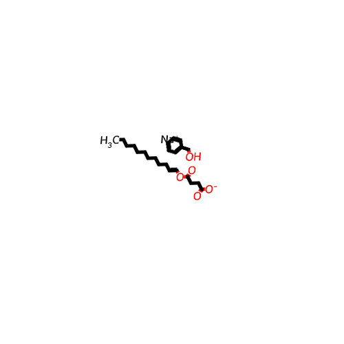 CCCCCCCCCCC=COC(=O)CCC(=O)[O-].OCc1ccccc1.[Na+]